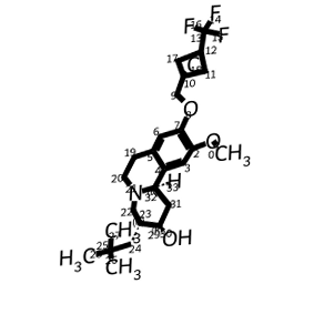 COc1cc2c(cc1OCC13CC(C(F)(F)F)(C1)C3)CCN1C[C@@H](CC(C)(C)C)[C@H](O)C[C@H]21